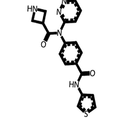 O=C(Nc1ccsc1)c1ccc(N(C(=O)C2CNC2)c2cccnn2)cc1